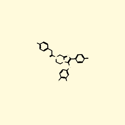 O=C(Cc1ccc(F)cc1)N1CCn2c(nc(-c3ccc(F)cc3)c2Nc2ccc(Cl)c(F)c2)C1